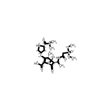 COP(=O)(CC(=O)NC(C)[C@H]1C(=O)N2C(C(=O)O)=C(S[C@@H]3CN[C@H](C(=O)N(C)C)C3)[C@H](C)[C@H]12)OC